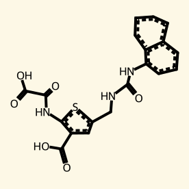 O=C(NCc1cc(C(=O)O)c(NC(=O)C(=O)O)s1)Nc1cccc2ccccc12